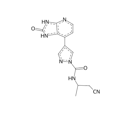 CC(CC#N)NC(=O)n1cc(-c2ccnc3[nH]c(=O)[nH]c23)cn1